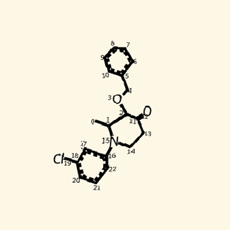 CC1C(OCc2ccccc2)C(=O)CCN1c1[c]c(Cl)ccc1